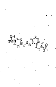 CS(=O)(=O)N1CCc2c(cccc2OCCC2CCN(C(=O)O)CC2)C1